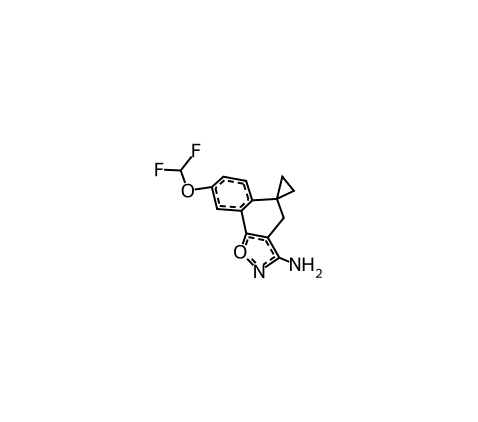 Nc1noc2c1CC1(CC1)c1ccc(OC(F)F)cc1-2